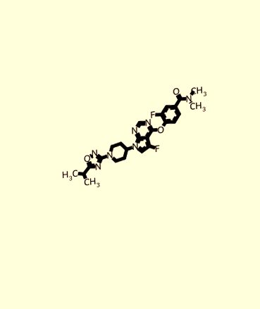 CC(C)c1nc(N2CCC(n3cc(F)c4c(Oc5ccc(C(=O)N(C)C)cc5F)ncnc43)CC2)no1